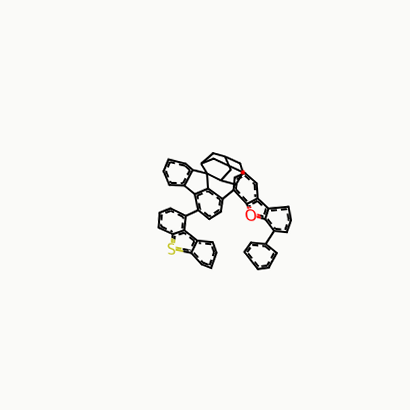 c1ccc(-c2cccc3c2oc2c(-c4ccc(-c5cccc6sc7ccccc7c56)c5c4C4(c6ccccc6-5)C5CC6CC(C5)CC4C6)cccc23)cc1